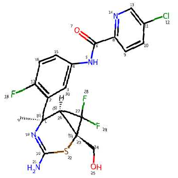 C[C@@]1(c2cc(NC(=O)c3ccc(Cl)cn3)ccc2F)N=C(N)S[C@]2(CO)[C@@H]1C2(F)F